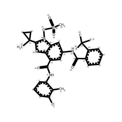 Cc1c(Cl)cccc1NC(=O)c1cc(NC(=O)c2ccccc2C(F)(F)F)cc2c1nc(C1(C)CC1)n2OS(C)(=O)=O